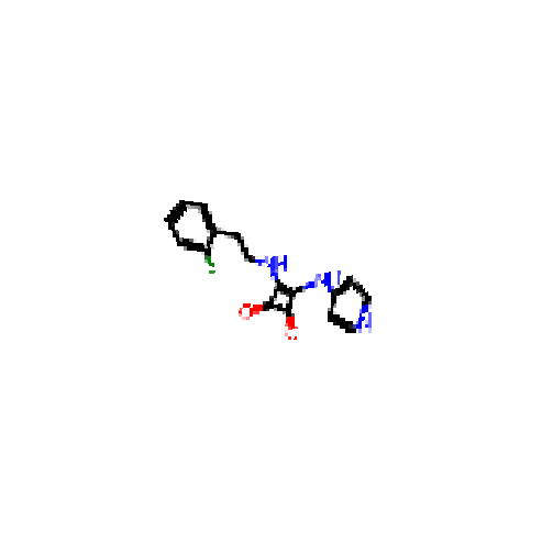 O=c1c(NCCc2ccccc2F)c(Nc2ccncc2)c1=O